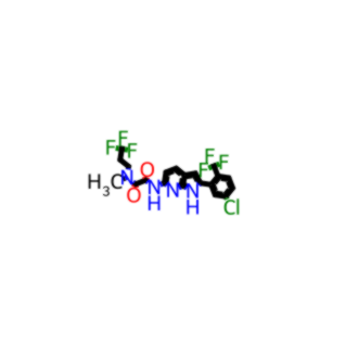 CN(CCC(F)(F)F)C(=O)C(=O)Nc1ccc2cc(-c3cc(Cl)ccc3C(F)(F)F)[nH]c2n1